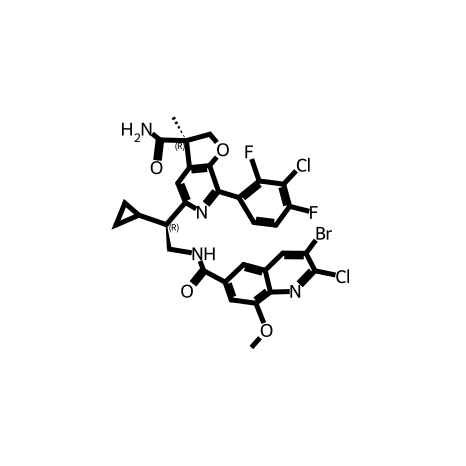 COc1cc(C(=O)NC[C@H](c2cc3c(c(-c4ccc(F)c(Cl)c4F)n2)OC[C@]3(C)C(N)=O)C2CC2)cc2cc(Br)c(Cl)nc12